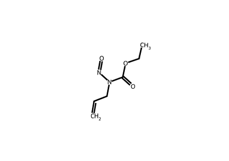 C=CCN(N=O)C(=O)OCC